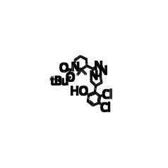 CC(C)(C)OC(=O)N1CCCC(c2nnc3n2CC(c2c(O)ccc(Cl)c2Cl)C3)C1(C)C